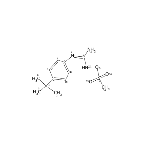 CC(C)(C)c1ccc(N=C(N)NOS(C)(=O)=O)cc1